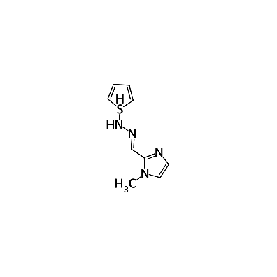 Cn1ccnc1C=NN[SH]1C=CC=C1